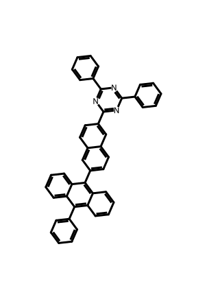 c1ccc(-c2nc(-c3ccccc3)nc(-c3ccc4cc(-c5c6ccccc6c(-c6ccccc6)c6ccccc56)ccc4c3)n2)cc1